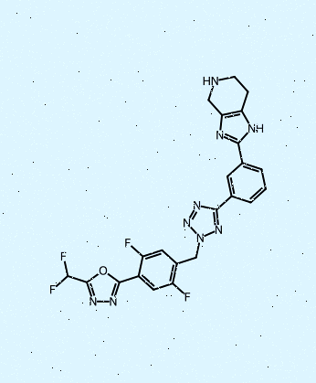 Fc1cc(-c2nnc(C(F)F)o2)c(F)cc1Cn1nnc(-c2cccc(-c3nc4c([nH]3)CCNC4)c2)n1